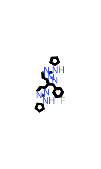 Fc1ccc(-c2nn3c(NC4CCCC4)nccc3c2-c2ccnc(NC3CCCC3)n2)cc1